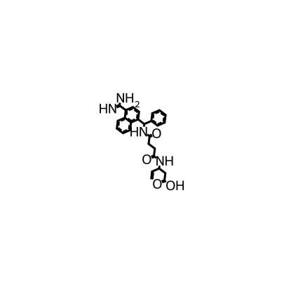 C=CC(CC(=O)O)NC(=O)CCC(=O)NC(c1ccccc1)c1ccc(C(=N)N)c2ccccc12